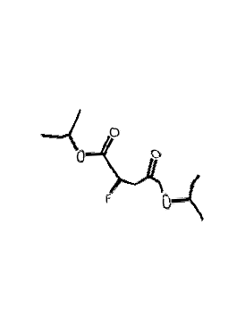 CC(C)OC(=O)C(F)C(=O)OC(C)C